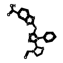 O=CN1CCSC1c1nnc(Sc2nc3ccc(C(=O)O)cc3s2)n1-c1ccccc1